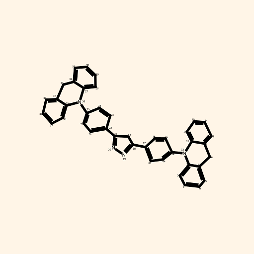 c1ccc2c(c1)Cc1ccccc1N2c1ccc(C2=NN=C(c3ccc(N4c5ccccc5Cc5ccccc54)cc3)C2)cc1